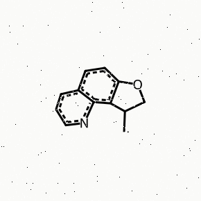 [CH2]C1COc2ccc3cccnc3c21